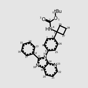 CC(C)(C)OC(=O)NC1(c2ccc(-n3c(-c4ccccc4)nc4cccnc43)cc2)CCC1